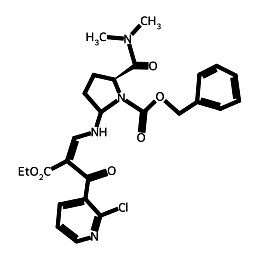 CCOC(=O)C(=CNC1CC[C@@H](C(=O)N(C)C)N1C(=O)OCc1ccccc1)C(=O)c1cccnc1Cl